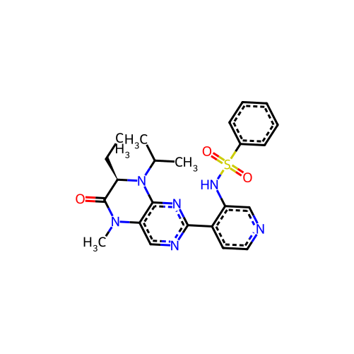 CC[C@@H]1C(=O)N(C)c2cnc(-c3ccncc3NS(=O)(=O)c3ccccc3)nc2N1C(C)C